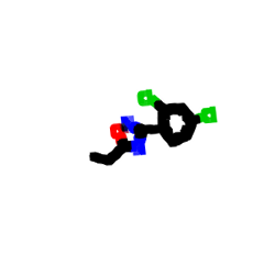 CCc1nc(-c2ccc(Cl)cc2Cl)no1